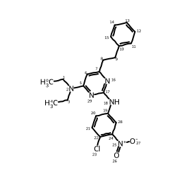 CCN(CC)c1cc(CCc2ccccc2)nc(Nc2ccc(Cl)c([N+](=O)[O-])c2)n1